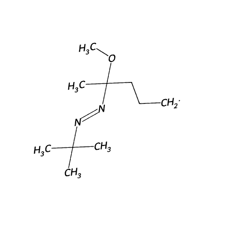 [CH2]CCC(C)(N=NC(C)(C)C)OC